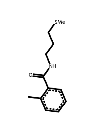 CSCCCNC(=O)c1ccccc1C